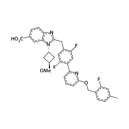 CO[C@H]1C[C@H](n2c(Cc3cc(F)c(-c4cccc(OCc5ccc(C)cc5F)n4)cc3F)nc3ccc(C(=O)O)cc32)C1